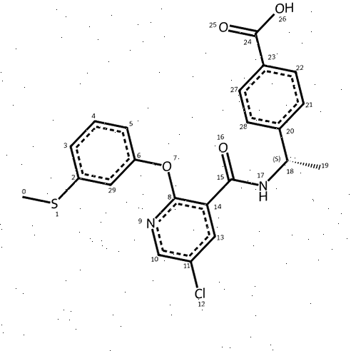 CSc1cccc(Oc2ncc(Cl)cc2C(=O)N[C@@H](C)c2ccc(C(=O)O)cc2)c1